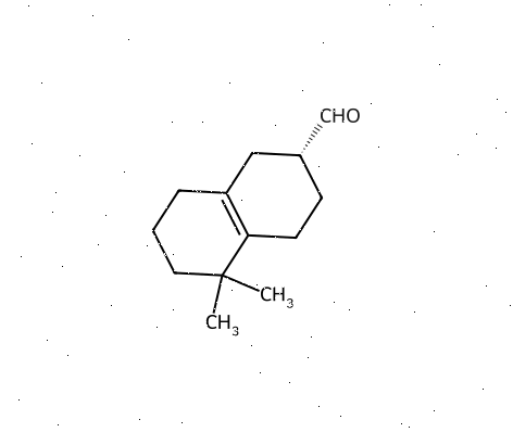 CC1(C)CCCC2=C1CC[C@@H](C=O)C2